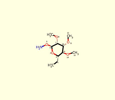 CC[C@@H]1O[C@@H](ON)[C@H](OC)[C@H](OC)[C@H]1OC